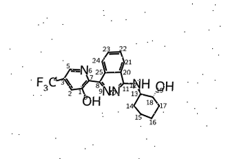 Oc1cc(C(F)(F)F)cnc1-c1nnc(N[C@@H]2CCCC[C@H]2O)c2ccccc12